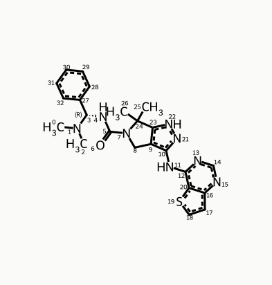 CN(C)[C@@H](NC(=O)N1Cc2c(Nc3ncnc4ccsc34)n[nH]c2C1(C)C)c1ccccc1